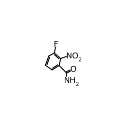 NC(=O)c1cccc(F)c1[N+](=O)[O-]